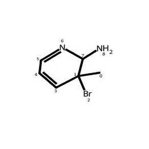 CC1(Br)C=CC=NC1N